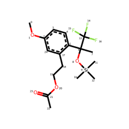 COc1ccc(C(C)(O[Si](C)(C)C)C(F)(F)F)c(CCOC(C)=O)c1